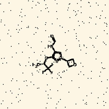 C[C@H](Oc1nn(C2COC2)cc1NC=O)C(F)(F)F